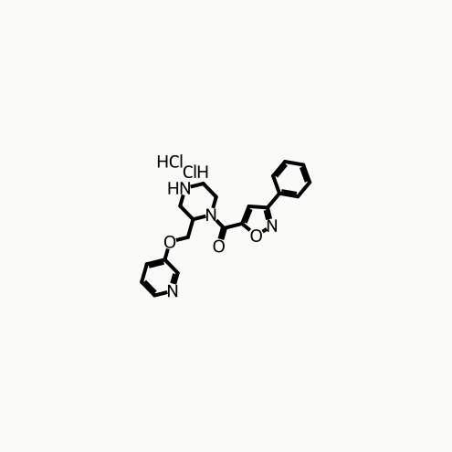 Cl.Cl.O=C(c1cc(-c2ccccc2)no1)N1CCNCC1COc1cccnc1